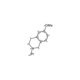 COc1ccc2c(c1)CCN(C(C)C)C2